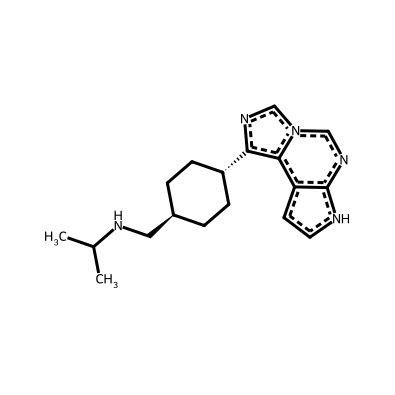 CC(C)NC[C@H]1CC[C@H](c2ncn3cnc4[nH]ccc4c23)CC1